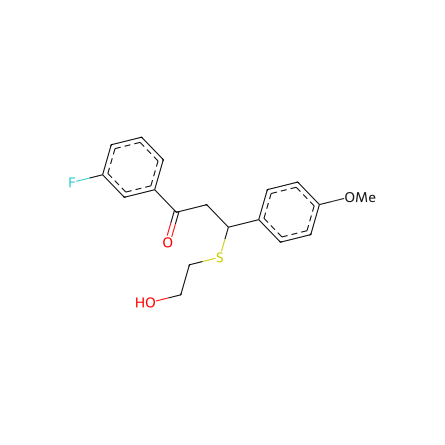 COc1ccc(C(CC(=O)c2cccc(F)c2)SCCO)cc1